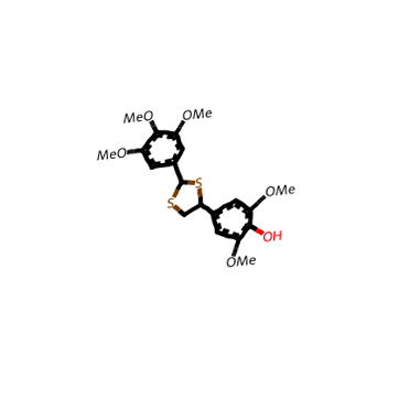 COc1cc(C2CSC(c3cc(OC)c(OC)c(OC)c3)S2)cc(OC)c1O